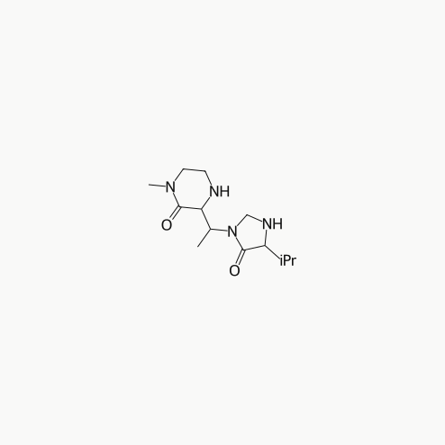 CC(C)C1NCN(C(C)C2NCCN(C)C2=O)C1=O